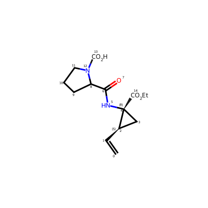 C=C[C@@H]1C[C@]1(NC(=O)C1CCCN1C(=O)O)C(=O)OCC